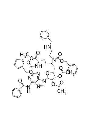 COC(=O)[C@H](CC[C@@H](C[C@H]1O[C@@H](n2cnc3c(NC(=O)c4ccccc4)ncnc32)[C@@H](OC(C)=O)C1OC(C)=O)N(CCNCc1ccccc1)C(=O)OCc1ccccc1)NC(=O)OCc1ccccc1